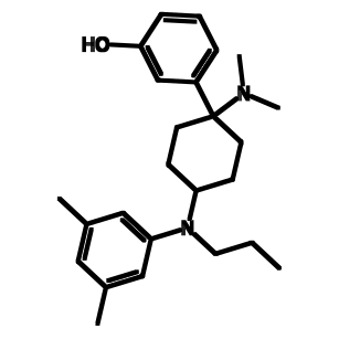 CCCN(c1cc(C)cc(C)c1)C1CCC(c2cccc(O)c2)(N(C)C)CC1